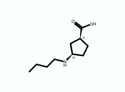 CCCCN[C@@H]1CC[C@H](C(=O)O)C1